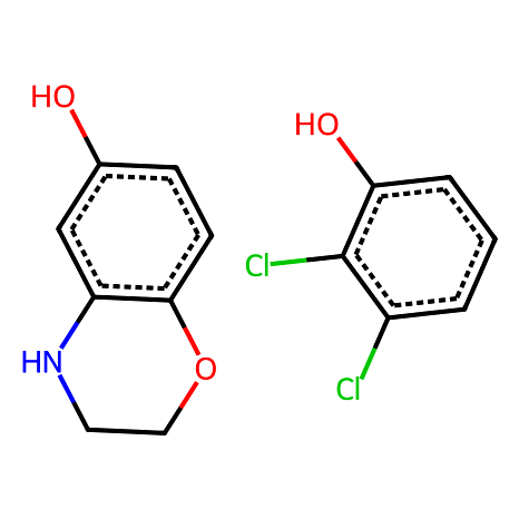 Oc1ccc2c(c1)NCCO2.Oc1cccc(Cl)c1Cl